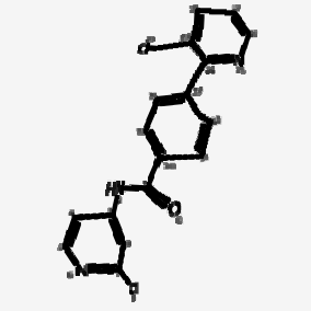 O=C(Nc1ccnc(Cl)c1)c1ccc(-c2ncccc2Cl)cc1